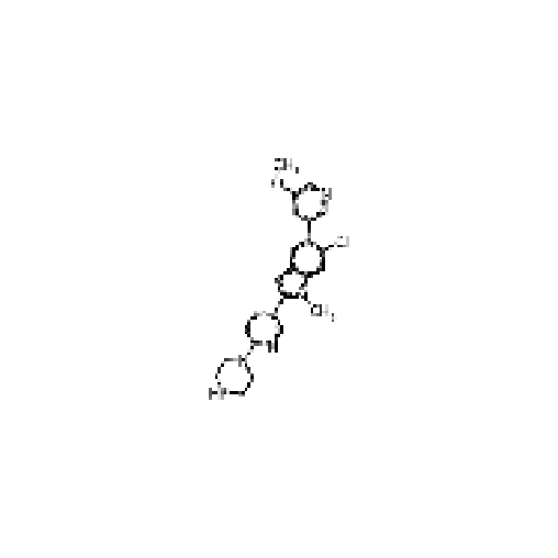 COc1cncc(-c2cc3cc(-c4ccc(N5CCPCC5)nc4)n(C)c3cc2Cl)c1